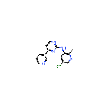 Cc1ncc(Cl)cc1Nc1nccc(-c2cccnc2)n1